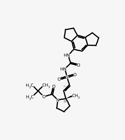 CC(C)(C)OC(=O)N1CCC[C@@]1(C)/C=C/S(=O)(=O)NC(=O)Nc1cc2c(c3c1CCC3)CCC2